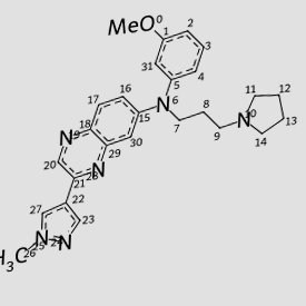 COc1cccc(N(CCCN2CCCC2)c2ccc3ncc(-c4cnn(C)c4)nc3c2)c1